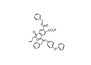 C=CCOC(=O)c1cc(C(=O)OCc2ccccc2)c(C(=O)O)cc1C(=O)N(Cc1ccccc1)Cc1ccc(Oc2ccccc2)cc1